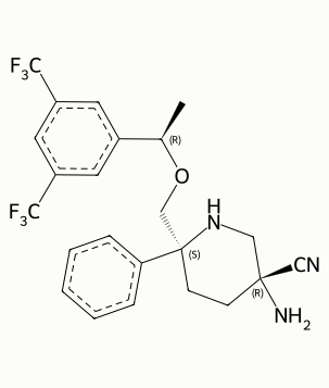 C[C@@H](OC[C@@]1(c2ccccc2)CC[C@](N)(C#N)CN1)c1cc(C(F)(F)F)cc(C(F)(F)F)c1